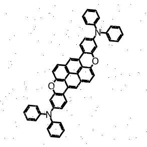 c1ccc(N(c2ccccc2)c2ccc3c(c2)oc2ccc4cc5c6ccc(N(c7ccccc7)c7ccccc7)cc6oc6ccc7cc3c2c4c7c65)cc1